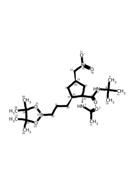 CC(=O)N[C@@]1(C(=O)NC(C)(C)C)C[C@H](C[N+](=O)[O-])C[C@@H]1CCCB1OC(C)(C)C(C)(C)O1